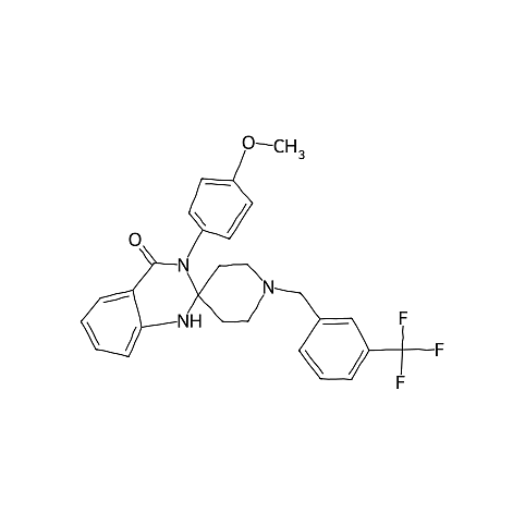 COc1ccc(N2C(=O)c3ccccc3NC23CCN(Cc2cccc(C(F)(F)F)c2)CC3)cc1